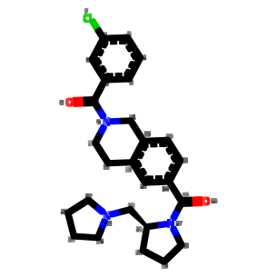 O=C(c1cccc(Cl)c1)N1CCc2cc(C(=O)N3CCC[C@H]3CN3CCCC3)ccc2C1